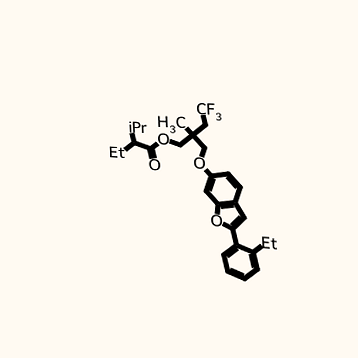 CCc1ccccc1-c1cc2ccc(OCC(C)(COC(=O)C(CC)C(C)C)CC(F)(F)F)cc2o1